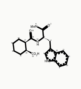 CNC(=O)[C@H](Cc1c[nH]c2ccccc12)NC(=O)[C@@H]1CCCC[C@@H]1C(=O)O